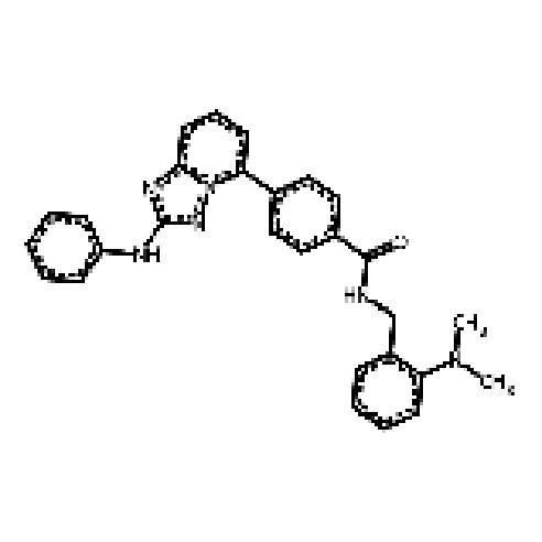 CN(C)c1ccccc1CNC(=O)c1ccc(-c2cccc3nc(Nc4ccccc4)nn23)cc1